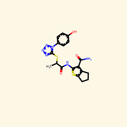 CC(Sc1nnnn1-c1ccc(O)cc1)C(=O)Nc1sc2c(c1C(N)=O)CCC2